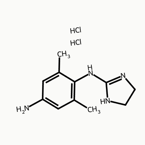 Cc1cc(N)cc(C)c1NC1=NCCN1.Cl.Cl